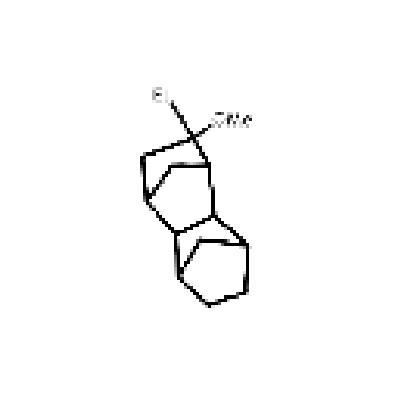 CCC1(OC)CC2CC1C1C3CCC(C3)C21